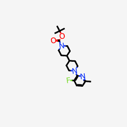 Cc1ccc(F)c(N2CCC(C3CCN(C(=O)OC(C)(C)C)CC3)CC2)n1